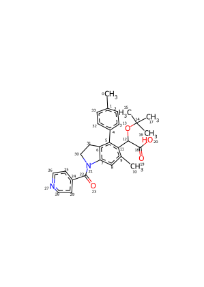 Cc1ccc(-c2c3c(cc(C)c2C(OC(C)(C)C)C(=O)O)N(C(=O)c2ccncc2)CC3)cc1